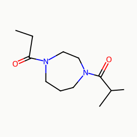 CCC(=O)N1CCCN(C(=O)C(C)C)CC1